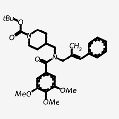 COc1cc(C(=O)N(C/C(C)=C/c2ccccc2)CC2CCN(C(=O)OC(C)(C)C)CC2)cc(OC)c1OC